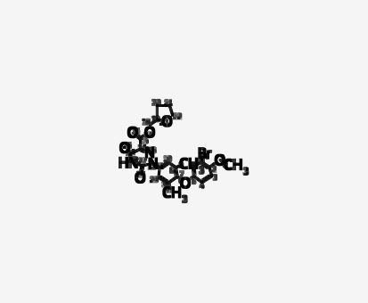 COc1ccc(Oc2c(C)cc(-n3nc(C(=O)OCC4CCCO4)c(=O)[nH]c3=O)cc2C)cc1Br